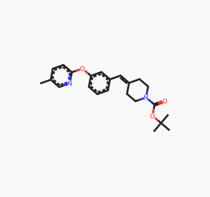 Cc1ccc(Oc2cccc(C=C3CCN(C(=O)OC(C)(C)C)CC3)c2)nc1